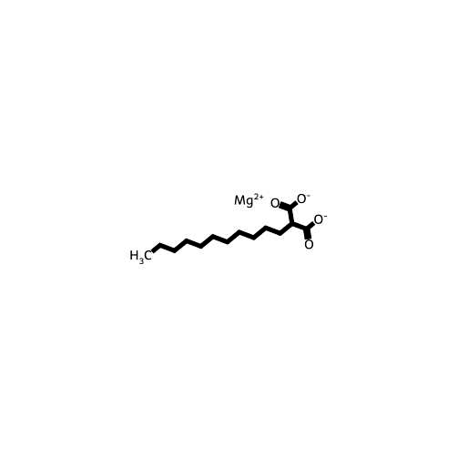 CCCCCCCCCCCC(C(=O)[O-])C(=O)[O-].[Mg+2]